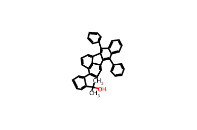 CC(C)(O)c1ccccc1-c1ccc2c3c(cccc13)-c1c-2c(-c2ccccc2)c2ccccc2c1-c1ccccc1